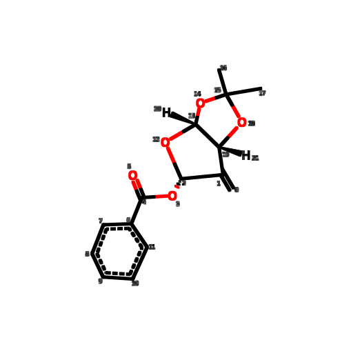 C=C1[C@H](OC(=O)c2ccccc2)O[C@@H]2OC(C)(C)O[C@H]12